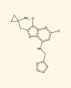 NC1(Cc2oc3c(NCc4cccs4)cc(Cl)nc3c2Cl)CC1